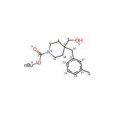 CCCCOC(=O)N1CCC(CO)(Cc2cccc(C)c2)CC1